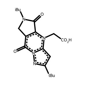 CCC(C)N1Cc2c(n(CC(=O)O)c3cc(C(C)(C)C)nn3c2=O)C1=O